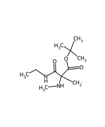 [CH2]C(NC)(C(=O)NCC)C(=O)OC(C)(C)C